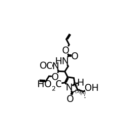 C=CCOC(=O)NCC(C1=C(C(=O)O)N2C(=O)[C@H]([C@@H](C)O)[C@H]2C1)C(N=C=O)OCC=C